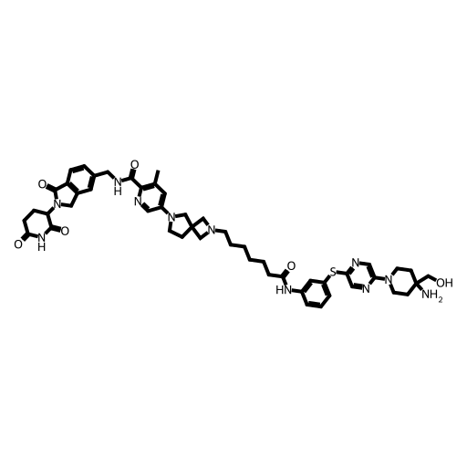 Cc1cc(N2CCC3(CN(CCCCCCC(=O)Nc4cccc(Sc5cnc(N6CCC(N)(CO)CC6)cn5)c4)C3)C2)cnc1C(=O)NCc1ccc2c(c1)CN(C1CCC(=O)NC1=O)C2=O